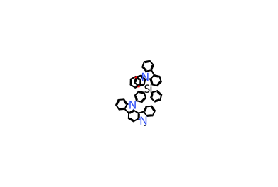 Cn1c2ccccc2c2c1ccc1c3ccccc3n(-c3ccc([Si](c4ccccc4)(c4ccccc4)c4cccc5c6ccccc6n(-c6ccccc6)c45)cc3)c12